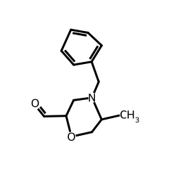 CC1COC(C=O)CN1Cc1ccccc1